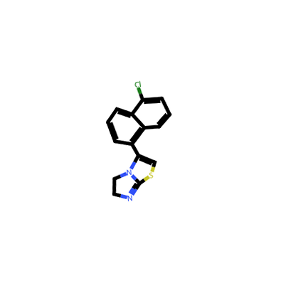 Clc1cccc2c(C3=CSC4=NCCN34)cccc12